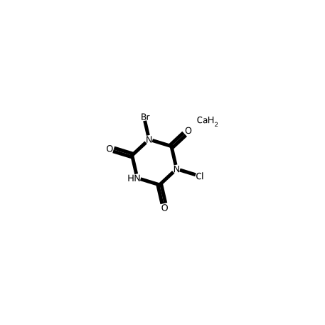 O=c1[nH]c(=O)n(Br)c(=O)n1Cl.[CaH2]